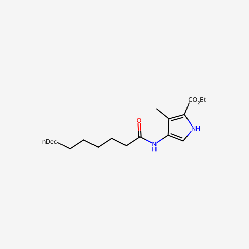 CCCCCCCCCCCCCCCC(=O)Nc1c[nH]c(C(=O)OCC)c1C